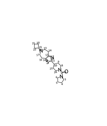 O=C(N1CCCC1)N1CCC(c2nc3c(s2)CCN(C2CCC2)CC3)CC1